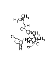 CN(C)CCNC(=O)c1cc(-c2c3c(=O)n(C)c(=O)n(CC4CC4)c3nn2Cc2c[nH]c3ccc(Cl)cc23)n(C)c1